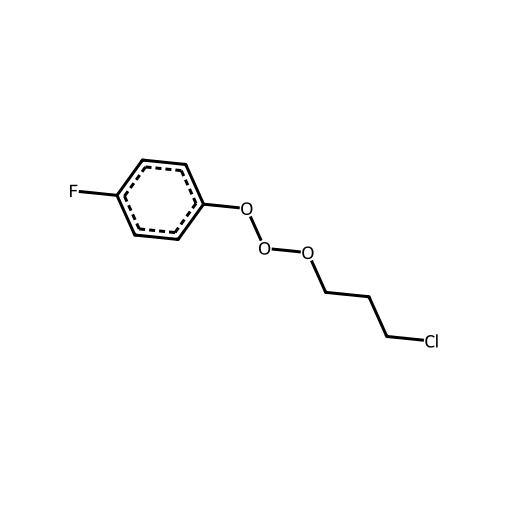 Fc1ccc(OOOCCCCl)cc1